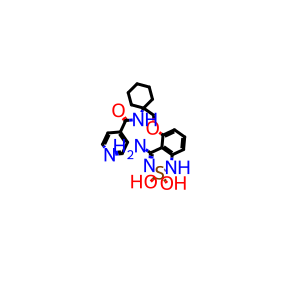 NC1=NS(O)(O)Nc2cccc(OCC3(NC(=O)c4ccncc4)CCCCC3)c21